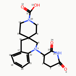 O=C1CCC(N2CC3(CCN(C(=O)O)CC3)Cc3ccccc32)C(=O)N1